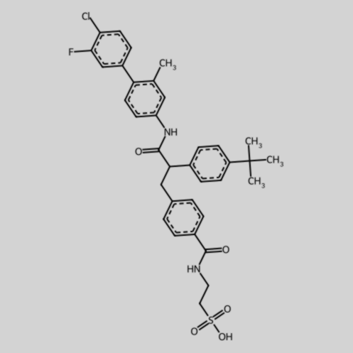 Cc1cc(NC(=O)C(Cc2ccc(C(=O)NCCS(=O)(=O)O)cc2)c2ccc(C(C)(C)C)cc2)ccc1-c1ccc(Cl)c(F)c1